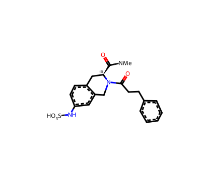 CNC(=O)[C@@H]1Cc2ccc(NS(=O)(=O)O)cc2CN1C(=O)CCc1ccccc1